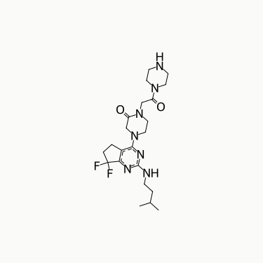 CC(C)CCNc1nc(N2CCN(CC(=O)N3CCNCC3)C(=O)C2)c2c(n1)C(F)(F)CC2